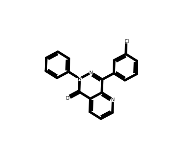 O=c1c2cccnc2c(-c2cccc(Cl)c2)nn1-c1ccccc1